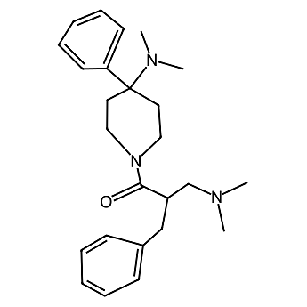 CN(C)CC(Cc1ccccc1)C(=O)N1CCC(c2ccccc2)(N(C)C)CC1